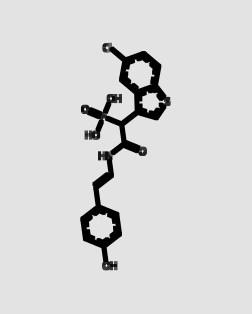 O=C(NC=Cc1ccc(O)cc1)C(c1csc2ccc(Cl)cc12)P(=O)(O)O